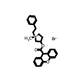 C[N+]1(CCc2ccccc2)CCC(OC(=O)C2c3ccccc3Oc3ccccc32)C1.[Br-]